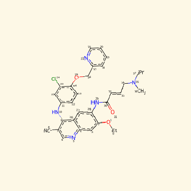 CCOc1cc2ncc(C#N)c(Nc3ccc(OCc4ccccn4)c(Cl)c3)c2cc1NC(=O)/C=C/CN(C)C(C)C